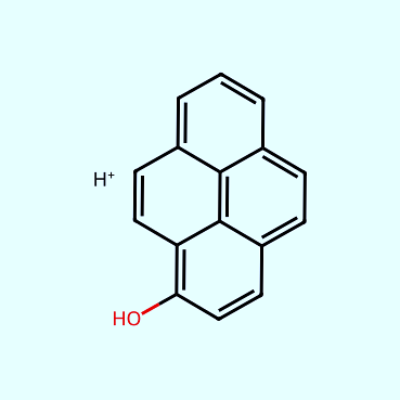 Oc1ccc2ccc3cccc4ccc1c2c34.[H+]